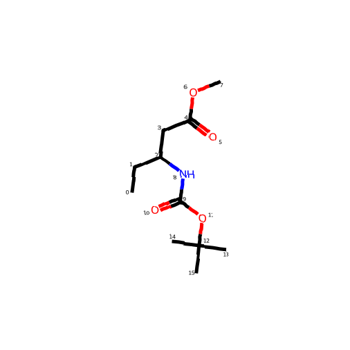 CCC(CC(=O)OC)NC(=O)OC(C)(C)C